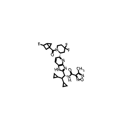 Cc1nonc1C(=O)N[C@@H](c1nc2nc([C@H]3CC(F)(F)CCN3C(=O)C34CC(F)C3C4)ccc2[nH]1)C(C1CC1)C1CC1